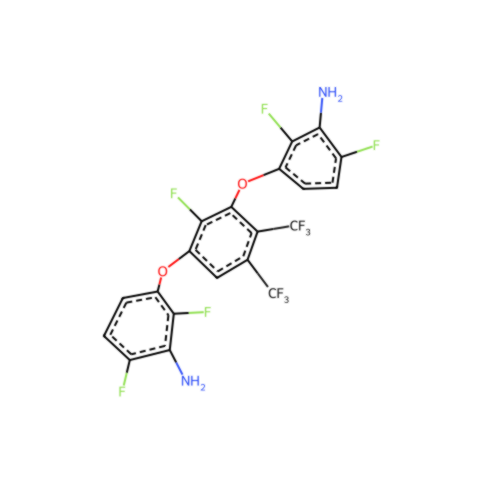 Nc1c(F)ccc(Oc2cc(C(F)(F)F)c(C(F)(F)F)c(Oc3ccc(F)c(N)c3F)c2F)c1F